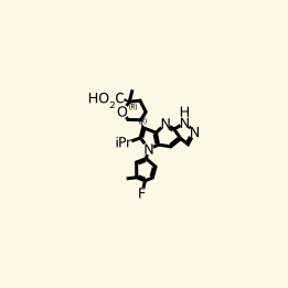 Cc1cc(-n2c(C(C)C)c([C@H]3CC[C@](C)(C(=O)O)OC3)c3nc4[nH]ncc4cc32)ccc1F